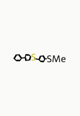 CSc1ccc(CSc2ccc(-c3ccccc3)cc2)cc1